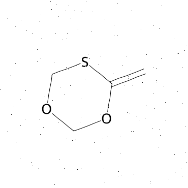 C=C1OCOCS1